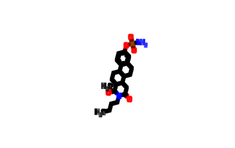 CCCCN1C(=O)CC2C3CCc4cc(OS(N)(=O)=O)ccc4C3CC[C@]2(C)C1=O